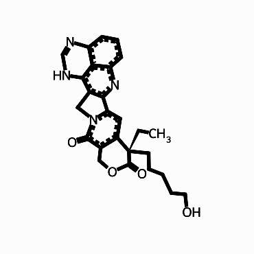 CC[C@@]1(CCCCCO)C(=O)OCc2c1cc1n(c2=O)Cc2c-1nc1cccc3c1c2NC=N3